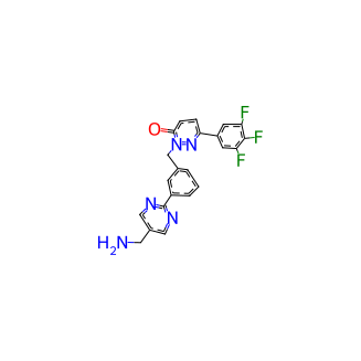 NCc1cnc(-c2cccc(Cn3nc(-c4cc(F)c(F)c(F)c4)ccc3=O)c2)nc1